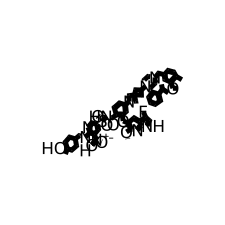 COc1cc(CN2CCN(C3CC4(C3)CN(c3ccc(C(=O)NS(=O)(=O)c5cnc(NCC6CCC(C)(O)CC6)c([N+](=O)[O-])c5)c(Oc5cc6c(F)c[nH]c6nc5OC)c3)C4)[C@H](c3ccccc3C(C)C)C2)ccc1C